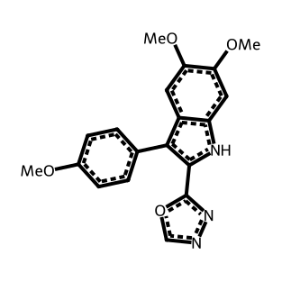 COc1ccc(-c2c(-c3nnco3)[nH]c3cc(OC)c(OC)cc23)cc1